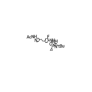 CC(=O)Nc1cc(CCc2ccc(NC(=O)Nc3cc(C(C)(C)C)nn3CC3CC3)c(F)c2)ccn1